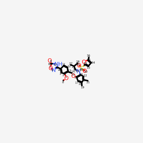 COc1cc(-c2noc(=O)[nH]2)ccc1COc1cc(C)c(C)cc1N(CC(C)C)S(=O)(=O)c1ccc(C)o1